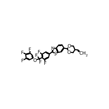 C=CC1COC(c2ccc3nc(-c4cc(F)c(C(F)(F)Oc5cc(F)c(F)c(F)c5)c(F)c4)sc3c2)OC1